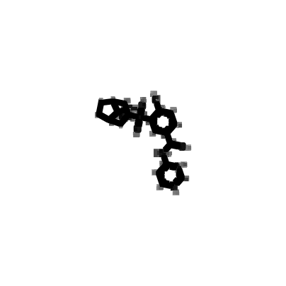 CC1(O)C2CCC1CC(S(=O)(=O)c1cc(C(=O)Nc3ccncn3)ccc1Cl)C2